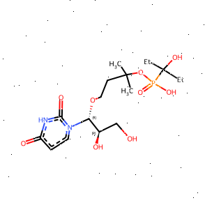 CCC(O)(CC)P(=O)(O)OC(C)(C)CCO[C@H]([C@H](O)CO)n1ccc(=O)[nH]c1=O